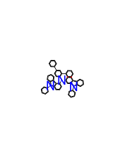 c1ccc(-c2ccc(N(c3ccc4c5ccccc5n(-c5ccccc5)c4c3)c3cccc4c3c3ccccc3n4-c3ccccc3)c(-c3ccccc3)c2)cc1